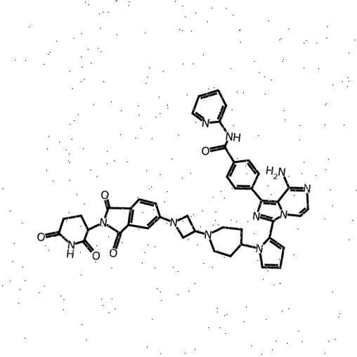 Nc1nccn2c(-c3cccn3C3CCN(C4CN(c5ccc6c(c5)C(=O)N(C5CCC(=O)NC5=O)C6=O)C4)CC3)nc(-c3ccc(C(=O)Nc4ccccn4)cc3)c12